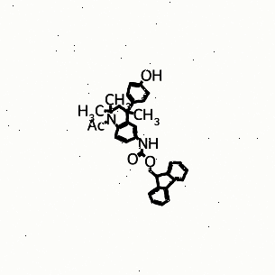 CC(=O)N1c2ccc(NC(=O)OCC3c4ccccc4-c4ccccc43)cc2C(C)(c2ccc(O)cc2)CC1(C)C